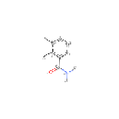 Cc1cccc(C(=O)N(C)C)c1C